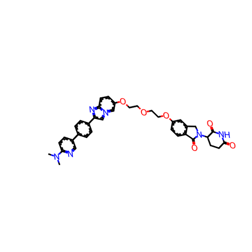 CN(C)c1ccc(-c2ccc(-c3cn4cc(OCCOCCOc5ccc6c(c5)CN(C5CCC(=O)NC5=O)C6=O)ccc4n3)cc2)cn1